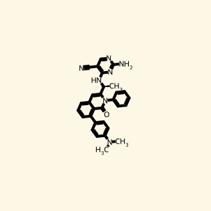 C[C@H](Nc1nc(N)ncc1C#N)c1cc2cccc(-c3ccc(N(C)C)cc3)c2c(=O)n1-c1ccccc1